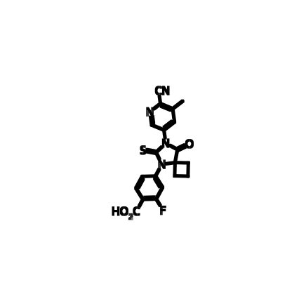 Cc1cc(N2C(=O)C3(CCC3)N(c3ccc(C(=O)O)c(F)c3)C2=S)cnc1C#N